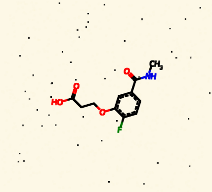 CNC(=O)c1ccc(F)c(OCCC(=O)O)c1